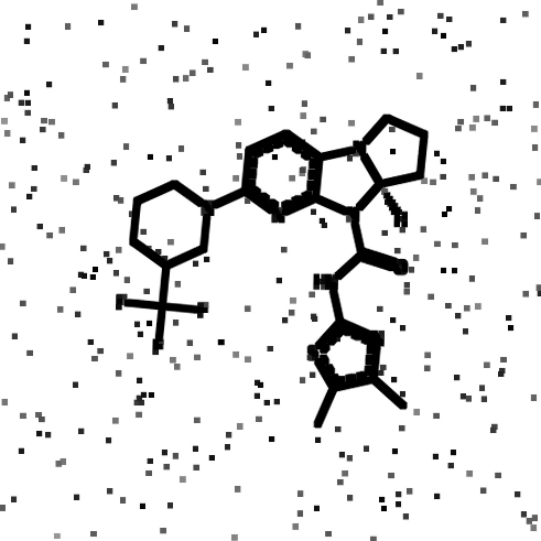 Cc1nc(NC(=O)N2c3nc(N4CCCC(C(F)(F)F)C4)ccc3N3CCC[C@H]32)sc1C